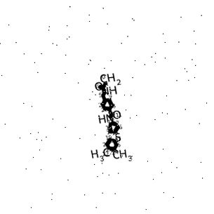 C=CC(=O)NCc1ccc(C(=O)Nc2ccc(Sc3ccc(C)c(C)c3)cc2)cc1